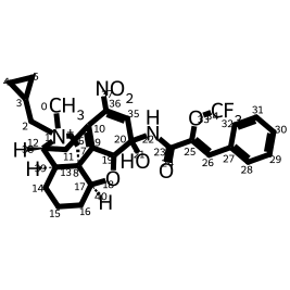 C[N+]1(CC2CC2)CC[C@@]23C4=C5C[C@@H]1[C@@H]2CCC[C@@H]3OC4C(O)(NC(=O)C(=Cc1ccccc1)OC(F)(F)F)C=C5[N+](=O)[O-]